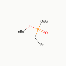 CCCCOP(=O)(CC(C)C)OCC(C)C